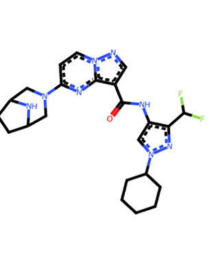 O=C(Nc1cn(C2CCCCC2)nc1C(F)F)c1cnn2ccc(N3CC4CCC(C3)N4)nc12